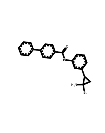 CCC1(N)CC1c1cccc(NC(=O)c2ccc(-c3ccccc3)cc2)c1